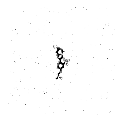 CCS(=O)(=O)c1cc(OC[S+](C)[O-])cnc1-c1cn2cnc(C(F)(F)F)cc2n1